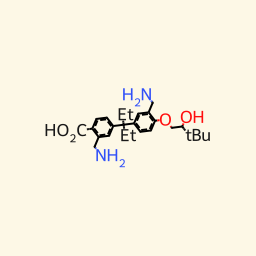 CCC(CC)(c1ccc(OCC(O)C(C)(C)C)c(CN)c1)c1ccc(C(=O)O)c(CN)c1